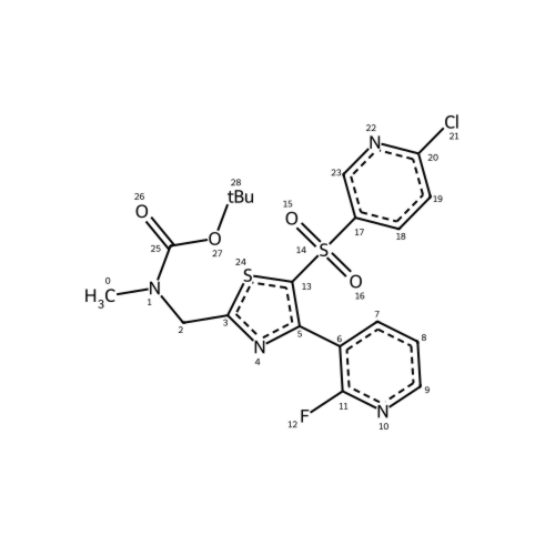 CN(Cc1nc(-c2cccnc2F)c(S(=O)(=O)c2ccc(Cl)nc2)s1)C(=O)OC(C)(C)C